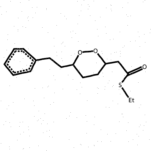 CCSC(=O)CC1CCC(CCc2ccccc2)OO1